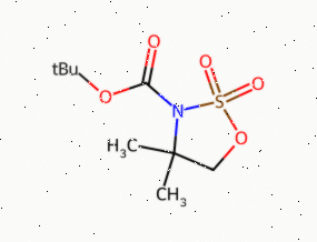 CC(C)(C)OC(=O)N1C(C)(C)COS1(=O)=O